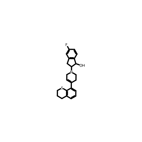 OC1c2ccc(F)cc2CC1N1CC=C(c2cccc3c2SCCC3)CC1